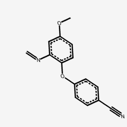 C=Nc1cc(OC)ccc1Oc1ccc(C#N)cc1